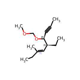 CC#C[C@H](OCOC)[C@H](/C=C(\C)CC)CC